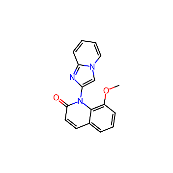 COc1cccc2ccc(=O)n(-c3cn4ccccc4n3)c12